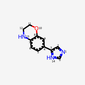 c1ncc(-c2ccc3c(c2)OCCN3)[nH]1